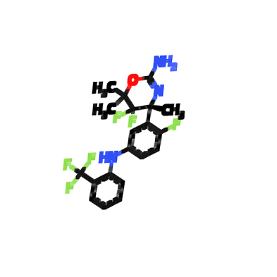 CC1(C)OC(N)=N[C@](C)(c2cc(Nc3ccccc3C(F)(F)F)ccc2F)C1(F)F